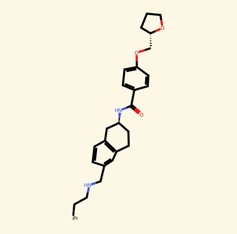 CC(C)CCNCc1ccc2c(c1)CC[C@H](NC(=O)c1ccc(OC[C@@H]3CCCO3)cc1)C2